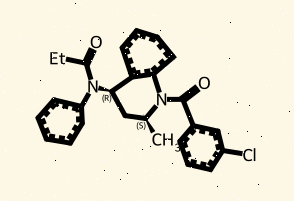 CCC(=O)N(c1ccccc1)[C@@H]1C[C@H](C)N(C(=O)c2cccc(Cl)c2)c2ccccc21